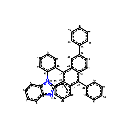 CCc1nc2ccccc2n1-c1ccccc1-c1c2ccccc2c(-c2ccccc2)c2ccc(-c3ccccc3)cc12